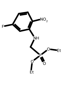 CCOP(=O)(CNc1cc(F)ccc1[N+](=O)[O-])OCC